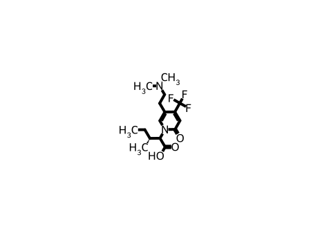 CC[C@@H](C)C(C(=O)O)n1cc(CCN(C)C)c(C(F)(F)F)cc1=O